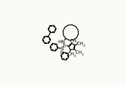 CC1=C(C)C(C)[C]([Zr]([NH]C2CCCCCCCCCCC2)[SiH](c2ccccc2)c2ccccc2)=C1C.c1ccc(-c2ccccc2)cc1